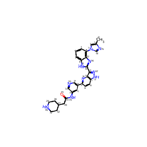 Cc1cn(-c2cccc3[nH]c(-c4n[nH]c5ccc(-c6cncc(NC(=O)CC7CCNCC7)c6)nc45)nc23)cn1